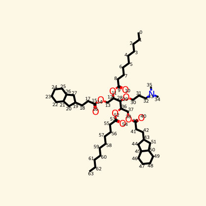 CCCCCCCCCC(=O)OC(COC(=O)CCC1CC2CCCCC2C1)C(OCCCN(C)C)C(COC(=O)CCC1CC2CCCCC2C1)OC(=O)CCCCCCCCC